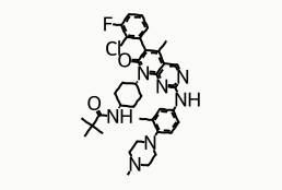 Cc1cc(Nc2ncc3c(C)c(-c4cccc(F)c4Cl)c(=O)n([C@H]4CC[C@@H](NC(=O)C(C)(C)C)CC4)c3n2)ccc1N1CCN(C)CC1